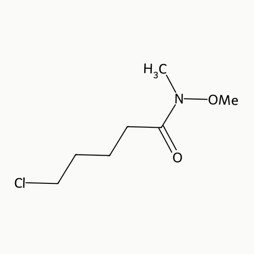 CON(C)C(=O)CCCCCl